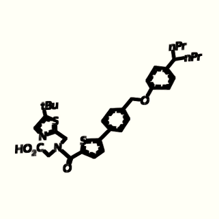 CCCC(CCC)c1ccc(OCc2ccc(-c3ccc(C(=O)N(CC(=O)O)Cc4ncc(C(C)(C)C)s4)s3)cc2)cc1